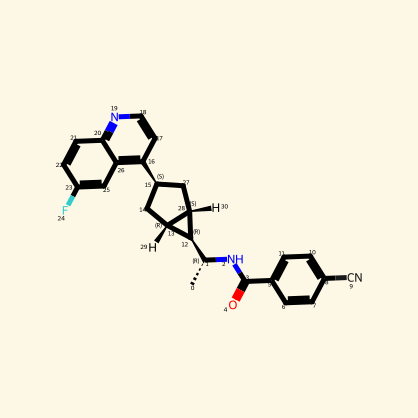 C[C@@H](NC(=O)c1ccc(C#N)cc1)[C@H]1[C@@H]2C[C@@H](c3ccnc4ccc(F)cc34)C[C@@H]21